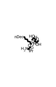 CCCCCCCCCCCCCCCC(=O)OC(=O)C(N)C(C)C.O[C@@H]1CO[C@H]2[C@@H]1OC[C@@H]2O